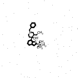 CCC1CN(Cc2ccccc2)CCC1(O)c1cccc2cc([Si](C)(C)C)sc12